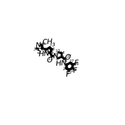 Cc1ncsc1-c1ccc(C(=O)N2CCC(C(=O)Nc3cc(F)c(F)c(F)c3)C2)[nH]1